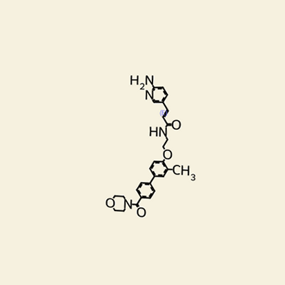 Cc1cc(-c2ccc(C(=O)N3CCOCC3)cc2)ccc1OCCNC(=O)/C=C/c1ccc(N)nc1